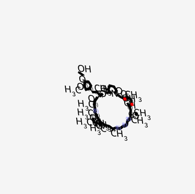 CO[C@H]1C[C@@H]2CC[C@@H](C)[C@@](O)(O2)C(=O)C(=O)N2CCCC[C@H]2C(=O)O[C@H]([C@H](C)C[C@@H]2CC[C@@H](OCCO)[C@H](OC)C2)CC(=O)[C@H](C)/C=C(\C)[C@@H](OC(C)C)[C@@H](OC)C(=O)[C@H](C)C[C@H](C)/C=C/C=C/C=C/1C